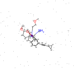 COCCN1C(=O)C2(N=C1N)c1cc(C#CC3CC3)ccc1CC21CCC(OC)CC1